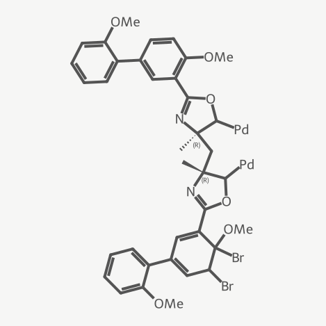 COc1ccccc1C1=CC(Br)C(Br)(OC)C(C2=N[C@](C)(C[C@@]3(C)N=C(c4cc(-c5ccccc5OC)ccc4OC)O[CH]3[Pd])[CH]([Pd])O2)=C1